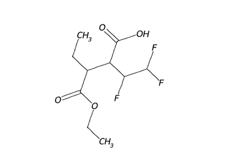 CCOC(=O)C(CC)C(C(=O)O)C(F)C(F)F